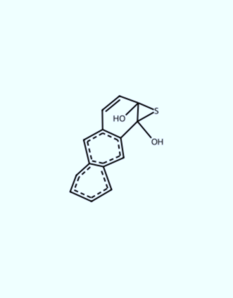 OC12C=Cc3cc4ccccc4cc3C1(O)S2